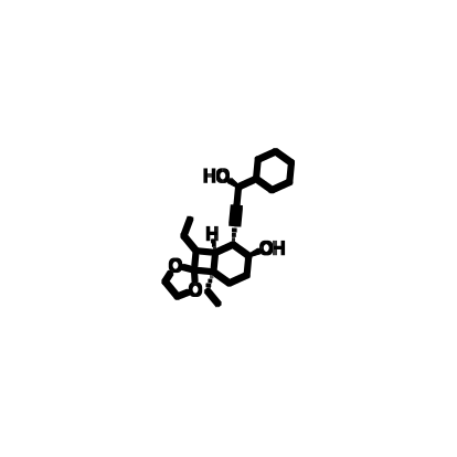 CCC1[C@H]2[C@H](C#C[C@@H](O)C3CCCCC3)[C@@H](O)CC[C@@]2(CC)C12OCCO2